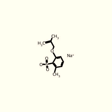 C=C(C)COc1cccc(C)c1S(=O)(=O)[O-].[Na+]